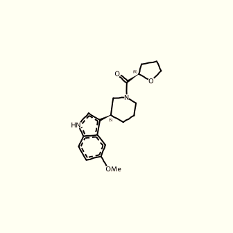 COc1ccc2[nH]cc([C@@H]3CCCN(C(=O)[C@H]4CCCO4)C3)c2c1